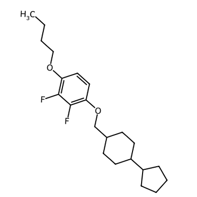 CCCCOc1ccc(OCC2CCC(C3CCCC3)CC2)c(F)c1F